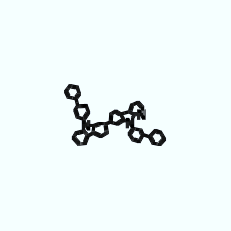 c1ccc(-c2ccc(-n3c4ccccc4c4ccc(-c5ccc6c7cccnc7n(-c7cccc(-c8ccccc8)c7)c6c5)cc43)cc2)cc1